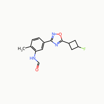 Cc1ccc(-c2noc(C3CC(F)C3)n2)cc1NC=O